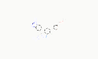 CCOCc1cc(-c2ccc([C@](N)(CN)c3ccc4[nH]cnc4c3)c(F)c2F)cs1